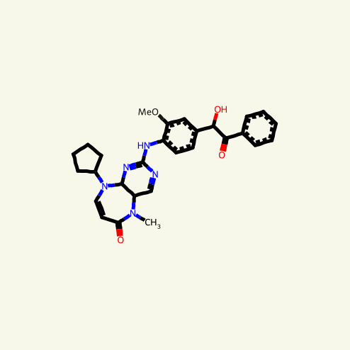 COc1cc(C(O)C(=O)c2ccccc2)ccc1NC1=NC2C(C=N1)N(C)C(=O)C=CN2C1CCCC1